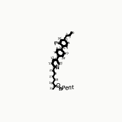 C=CCc1ccc(-c2ccc(-c3ccc(/C=C/CCCC(C)OCCCCC)nc3)cc2)c(F)c1